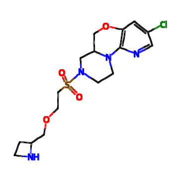 O=S(=O)(CCOCC1CCN1)N1CCN2c3ncc(Cl)cc3OCC2C1